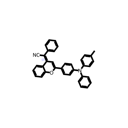 Cc1ccc(N(c2ccccc2)c2ccc(C3=C/C(=C(/C#N)c4ccccc4)c4ccccc4O3)cc2)cc1